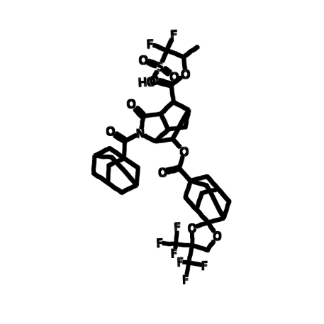 CC(OC(=O)C1C2CC3C1C(=O)N(C(=O)C14CC5CC(CC(C5)C1)C4)C3C2OC(=O)C12CC3CC(C1)C1(OCC(C(F)(F)F)(C(F)(F)F)O1)C(C3)C2)C(F)(F)S(=O)(=O)O